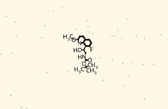 COc1ccc2ccc(F)c(C(O)CNC(=O)OC(C)(C)C)c2n1